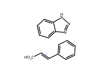 O=C(O)/C=C/c1ccccc1.c1ccc2[nH]nnc2c1